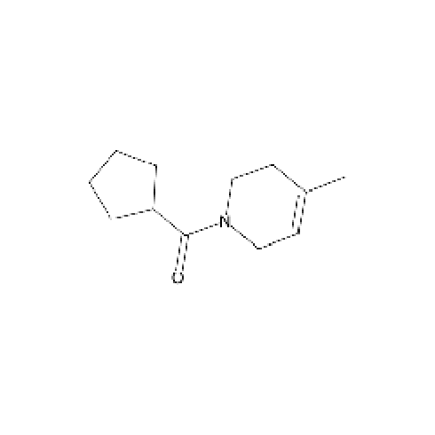 CC1=CCN(C(=O)C2CCCC2)CC1